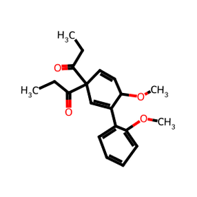 CCC(=O)C1(C(=O)CC)C=CC(OC)C(c2ccccc2OC)=C1